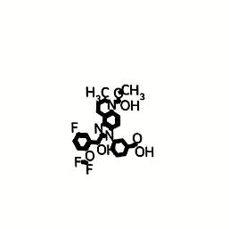 COC(O)N1c2ccc3c(nc(C(O)c4cc(F)ccc4OC(F)F)n3C3CCCC(C(=O)O)C3)c2CC[C@@H]1C